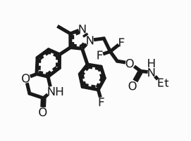 CCNC(=O)OCC(F)(F)Cn1nc(C)c(-c2ccc3c(c2)NC(=O)CO3)c1-c1ccc(F)cc1